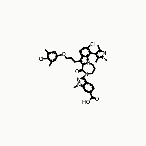 Cc1cc(OCCCc2c3n(c4c(-c5c(C)nn(C)c5C)c(Cl)ccc24)CCCN(c2nn(C)c4cc(C(=O)O)ccc24)C3=O)cc(C)c1Cl